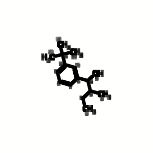 CCC(C)C(O)c1cccc(C(C)(C)C)c1